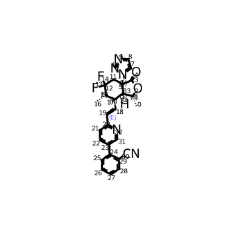 C[C@H]1OC(=O)[C@]2(n3ccnn3)CC(F)(F)[C@@H](C)[C@H](/C=C/c3ccc(-c4ccccc4C#N)cn3)[C@H]12